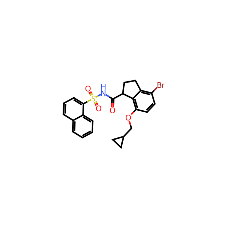 O=C(NS(=O)(=O)c1cccc2ccccc12)C1CCc2c(Br)ccc(OCC3CC3)c21